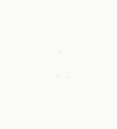 CCc1cc(CC)cc(P(c2cc(CC)cc(CC)c2)C(C)C(C)(C)C(C)P(c2cc(CC)cc(CC)c2)c2cc(CC)cc(CC)c2)c1